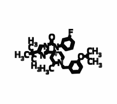 CC(C)Oc1cccc(CN2CC[C@]3(CC2C)c2nc(C(C)(C)C)cn2C(=O)N3c2cccc(F)c2)c1